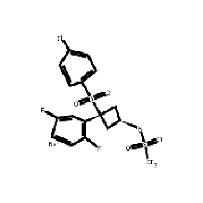 O=S(=O)([N-][C@H]1C[C@](c2cc(F)ccc2F)(S(=O)(=O)c2ccc(Cl)cc2)C1)C(F)(F)F.[Na+]